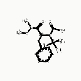 CON(C)C(=O)[C@H](Cc1ccccc1)N(C(=O)O)C(C)(C)C